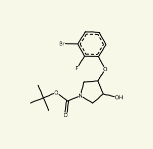 CC(C)(C)OC(=O)N1CC(O)C(Oc2cccc(Br)c2F)C1